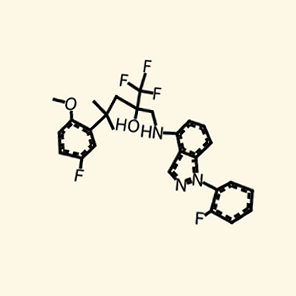 COc1ccc(F)cc1C(C)(C)CC(O)(CNc1cccc2c1cnn2-c1ccccc1F)C(F)(F)F